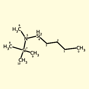 CCCC[SiH2]N(C)[Si](C)(C)C